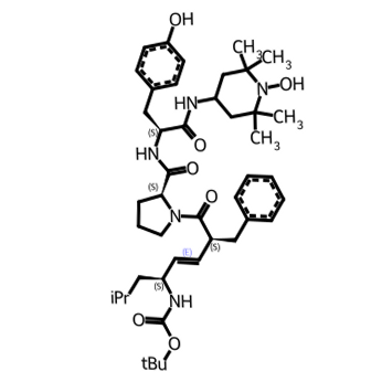 CC(C)C[C@@H](/C=C/[C@H](Cc1ccccc1)C(=O)N1CCC[C@H]1C(=O)N[C@@H](Cc1ccc(O)cc1)C(=O)NC1CC(C)(C)N(O)C(C)(C)C1)NC(=O)OC(C)(C)C